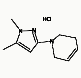 Cc1cc(N2CC=CCC2)nn1C.Cl